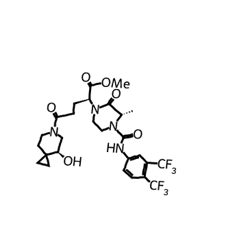 COC(=O)[C@H](CCC(=O)N1CCC2(CC2)[C@H](O)C1)N1CCN(C(=O)Nc2ccc(C(F)(F)F)c(C(F)(F)F)c2)[C@@H](C)C1=O